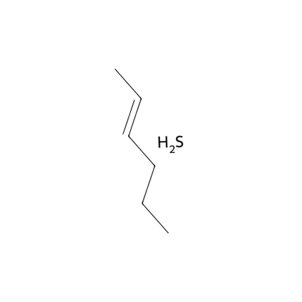 C/C=C/CCC.S